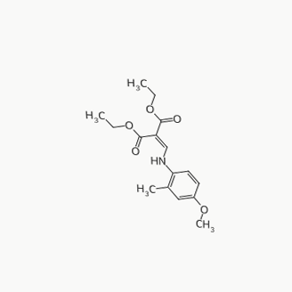 CCOC(=O)C(=CNc1ccc(OC)cc1C)C(=O)OCC